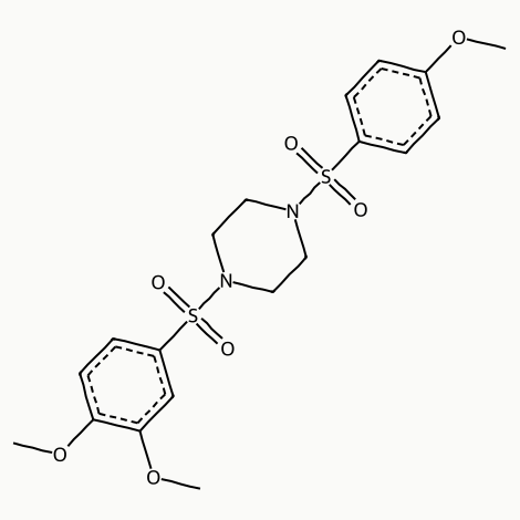 COc1ccc(S(=O)(=O)N2CCN(S(=O)(=O)c3ccc(OC)c(OC)c3)CC2)cc1